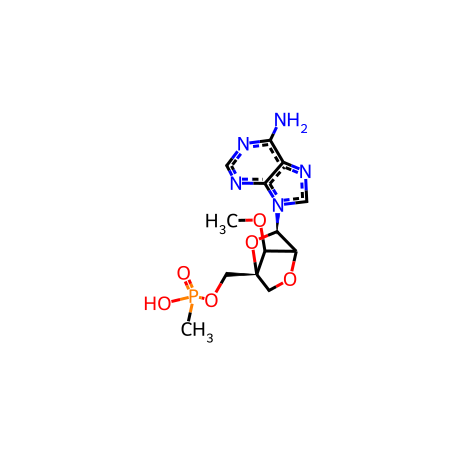 COC1C2OC[C@]1(COP(C)(=O)O)O[C@H]2n1cnc2c(N)ncnc21